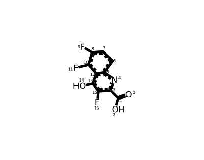 O=C(O)c1nc2ccc(F)c(F)c2c(O)c1F